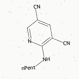 CCCCCNc1ncc(C#N)cc1C#N